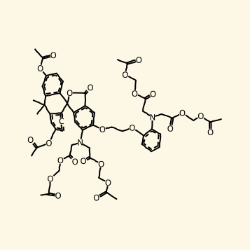 CC(=O)OCOC(=O)CN(CC(=O)OCOC(C)=O)c1ccccc1OCCOc1cc2c(cc1N(CC(=O)OCOC(C)=O)CC(=O)OCOC(C)=O)C1(OC2=O)c2ccc(OC(C)=O)cc2C(C)(C)c2cc(OC(C)=O)ccc21